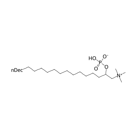 CCCCCCCCCCCCCCCCCCCCCCC(C[N+](C)(C)C)OP(=O)([O-])O